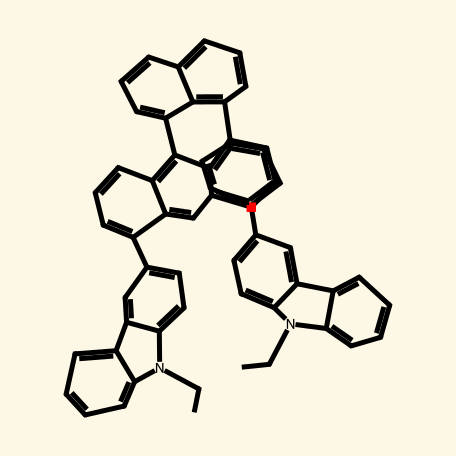 CCn1c2ccccc2c2cc(-c3cccc4c(-c5cccc6cccc(-c7ccccc7)c56)c5cccc(-c6ccc7c(c6)c6ccccc6n7CC)c5cc34)ccc21